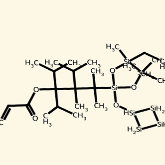 C=CC(=O)OC(C(C)C)(C(C)C)C(C)(C(C)C)C(C)(C)[Si](O[SiH]1[SiH2][SiH2][SiH2]1)(O[Si](C)(C)C)O[Si](C)(C)CC